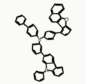 c1ccc(-c2ccc(N(c3ccc(-c4cccc5oc6c7ccccc7ccc6c45)cc3)c3cccc(-c4ccc5c6ccccc6n(-c6ccccc6)c5c4)c3)cc2)cc1